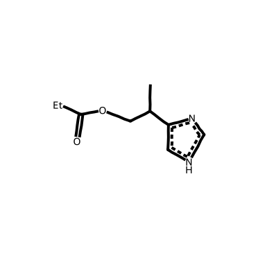 CCC(=O)OCC(C)c1c[nH]cn1